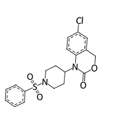 O=C1OCc2cc(Cl)ccc2N1C1CCN(S(=O)(=O)c2ccccc2)CC1